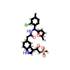 Cc1ccc(C(NC(=O)Cc2ccc3[nH]cc(C(=O)CS(C)(=O)=O)c3c2)c2ccc(C)o2)c(Br)c1